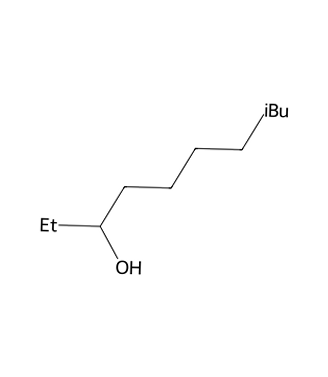 CCC(C)CCCCC(O)CC